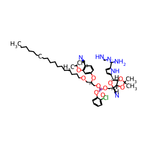 CCCCCCCCCCCCCCCCCCOC[C@H](COP(=O)(OC[C@@]1(C#N)O[C@@H](c2ccc(/C(N)=N\C=N)[nH]2)[C@@H]2OC(C)(C)O[C@@H]21)Oc1ccccc1Cl)Oc1ccc(C#N)c(OC(C)C)c1